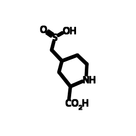 O=C(O)C1CC(CS(=O)O)CCN1